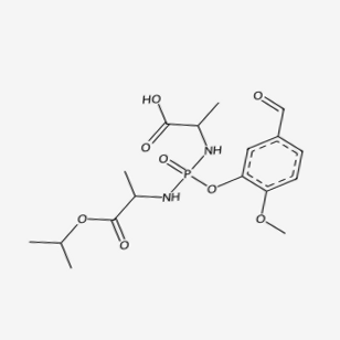 COc1ccc(C=O)cc1OP(=O)(NC(C)C(=O)O)NC(C)C(=O)OC(C)C